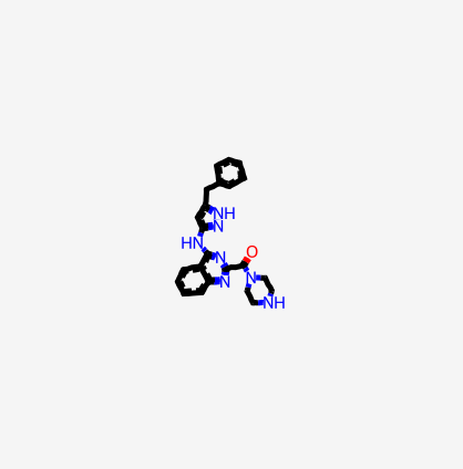 O=C(c1nc(Nc2cc(Cc3ccccc3)[nH]n2)c2ccccc2n1)N1CCNCC1